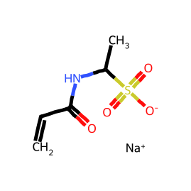 C=CC(=O)NC(C)S(=O)(=O)[O-].[Na+]